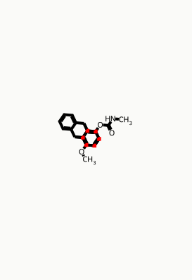 CNC(=O)Oc1ccc(OC)c2c1C1c3ccccc3C2c2ccccc21